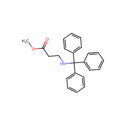 COC(=O)CCNC(c1ccccc1)(c1ccccc1)c1ccccc1